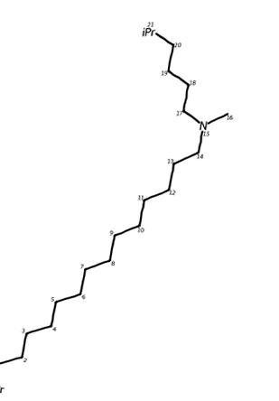 CC(C)CCCCCCCCCCCCCCN(C)CCCCC(C)C